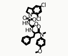 COc1ccc(N(C)C(=O)C(Cc2ccccc2)NC(=O)NS(=O)(=O)N2CCc3cc(Cl)cc(Cl)c32)cc1